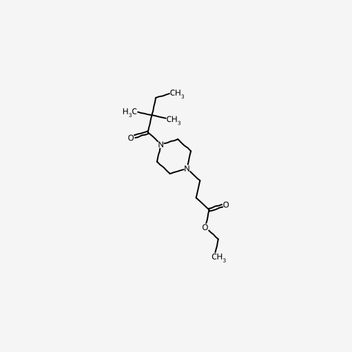 CCOC(=O)CCN1CCN(C(=O)C(C)(C)CC)CC1